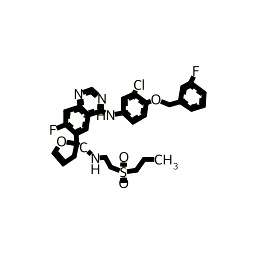 CCCS(=O)(=O)CCNCC1(c2cc3c(Nc4ccc(OCc5cccc(F)c5)c(Cl)c4)ncnc3cc2F)CC=CO1